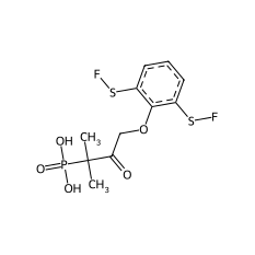 CC(C)(C(=O)COc1c(SF)cccc1SF)P(=O)(O)O